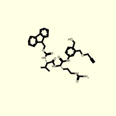 C#CCOCc1cc(NC(=O)[C@H](CCCNC(N)=O)NC(=O)[C@@H](NC(=O)OCC2c3ccccc3-c3ccccc32)C(C)C)ccc1CO